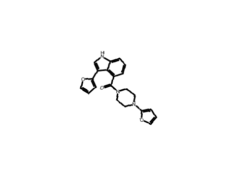 O=C(c1cccc2[nH]cc(-c3ccco3)c12)N1CCN(c2ccco2)CC1